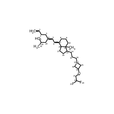 C=CCC/C(=C/C=C1\CCCC2(C)C(CCCN3CC(OCC(F)F)C3)CCC12)CC(C)O